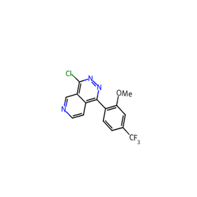 COc1cc(C(F)(F)F)ccc1-c1nnc(Cl)c2cnccc12